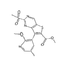 COC(=O)c1sc2cnc(S(C)(=O)=O)nc2c1-c1cc(C)cnc1OC